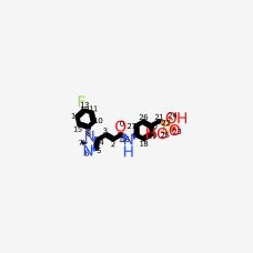 O=C(C=Cc1cncn1-c1ccc(F)cc1)Nc1ccc(CP(=O)(O)O)cc1